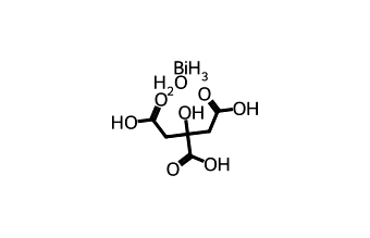 O.O=C(O)CC(O)(CC(=O)O)C(=O)O.[BiH3]